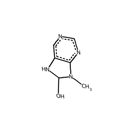 CN1c2ncncc2NC1O